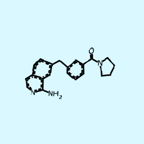 Nc1nccc2ccc(Cc3cccc(C(=O)N4CCCC4)c3)cc12